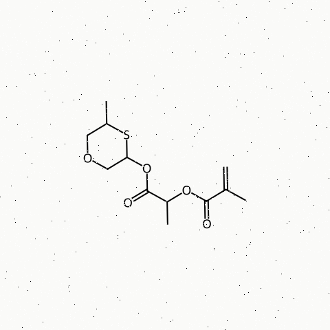 C=C(C)C(=O)OC(C)C(=O)OC1COCC(C)S1